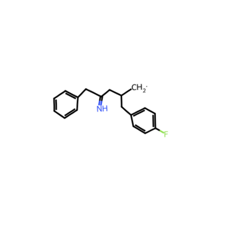 [CH2]C(CC(=N)Cc1ccccc1)Cc1ccc(F)cc1